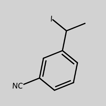 CC(I)c1cccc(C#N)c1